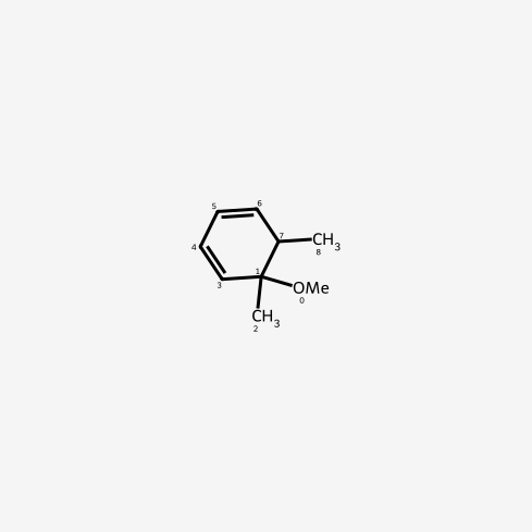 COC1(C)C=CC=CC1C